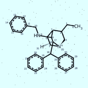 CCC1C[N@@]2CCC1C(NCc1ccccc1)[C@@H]2C(c1ccccc1)c1ccccc1